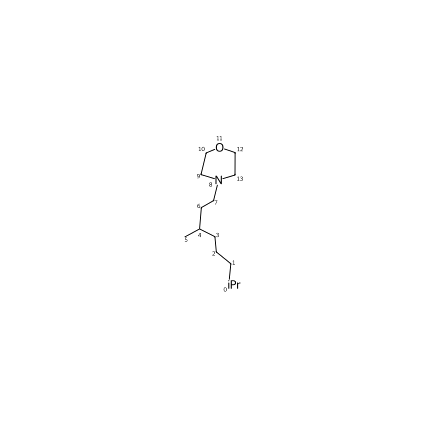 CC(C)CCCC(C)CCN1CCOCC1